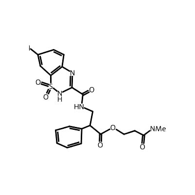 CNC(=O)CCOC(=O)C(CNC(=O)C1=Nc2ccc(I)cc2S(=O)(=O)N1)c1ccccc1